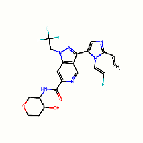 C=Cc1ncc(-c2nn(CC(F)(F)F)c3cc(C(=O)NC4COCCC4O)ncc23)n1/C=C/F